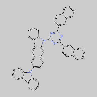 c1ccc2cc(-c3nc(-c4ccc5ccccc5c4)nc(-n4c5ccccc5c5cc6cc(-n7c8ccccc8c8ccccc87)ccc6cc54)n3)ccc2c1